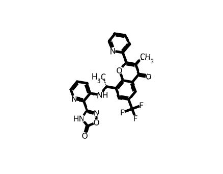 Cc1c(-c2ccccn2)oc2c([C@@H](C)Nc3cccnc3-c3noc(=O)[nH]3)cc(C(F)(F)F)cc2c1=O